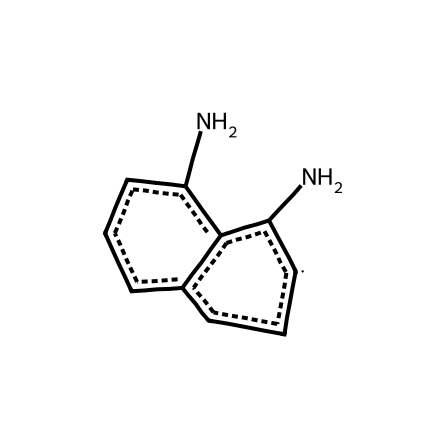 Nc1[c]ccc2cccc(N)c12